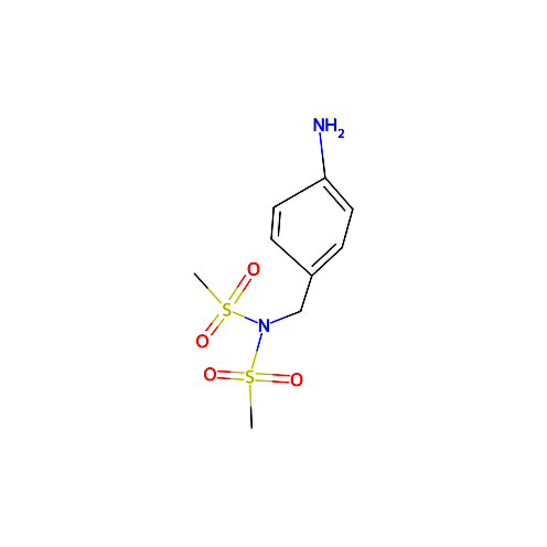 CS(=O)(=O)N(Cc1ccc(N)cc1)S(C)(=O)=O